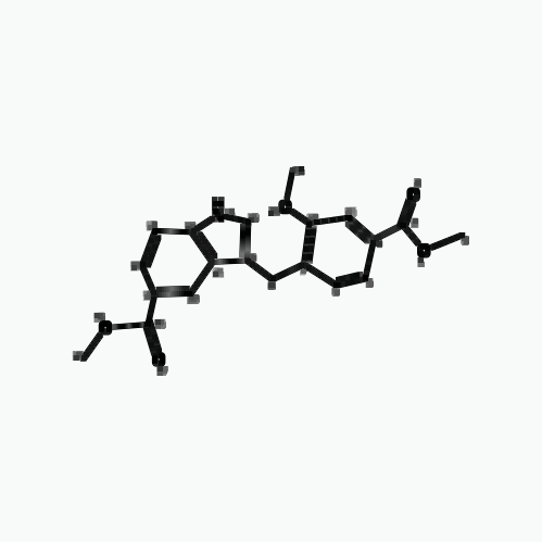 COC(=O)c1ccc(Cc2c[nH]c3ccc(C(=O)OC)cc23)c(OC)c1